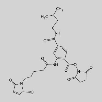 CC(C)CCNC(=O)c1ccc(C(=O)ON2C(=O)CCC2=O)c(NC(=O)CCCCN2C(=O)C=CC2=O)c1